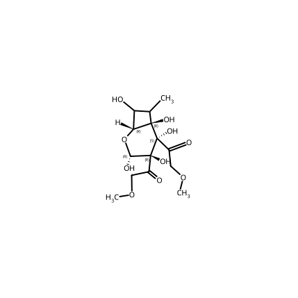 COCC(=O)[C@]1(O)[C@@]2(O)C(C)C(O)[C@H]2O[C@@H](O)[C@@]1(O)C(=O)COC